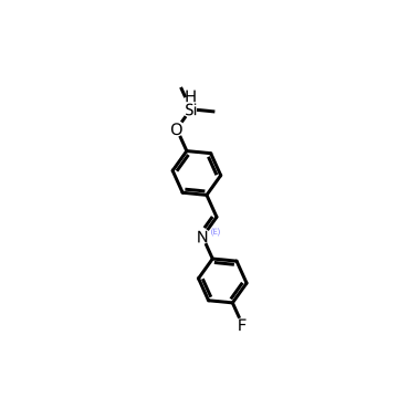 C[SiH](C)Oc1ccc(/C=N/c2ccc(F)cc2)cc1